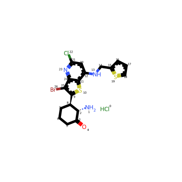 Cl.N[C@@H]1C(=O)CCC[C@H]1c1sc2c(NCc3cccs3)cc(Cl)nc2c1Br